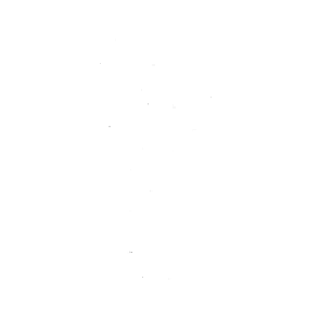 CCC(CC1CCCOC1)C1=CC(O)=C(CCCc2ccccc2)CO1